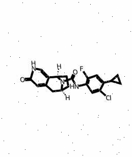 O=C(Nc1cc(Cl)c(C2CC2)cc1F)N1[C@H]2CC[C@@H]1c1c[nH]c(=O)cc1C2